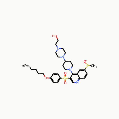 CCCCCCCCCCCCCCOc1ccc(S(=O)(=O)c2cnc3ccc([S+](C)[O-])cc3c2N2CCC(N3CCN(CCO)CC3)CC2)cc1